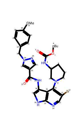 CCCCOC(=O)NC1CCCN(c2c(Br)cnc3[nH]cc(NC(=O)c4cnn(Cc5ccc(OC)cc5)c4)c23)C1